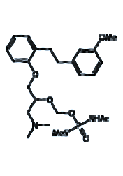 COc1cccc(CCc2ccccc2OCC(CN(C)C)OCOP(=O)(NC(C)=O)SC)c1